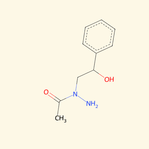 CC(=O)N(N)CC(O)c1ccccc1